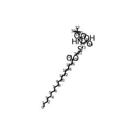 CCCCCCCCCCCCCCCCCC(=O)OCCSC[C@H](NC(=O)OC(C)(C)C)C(=O)O